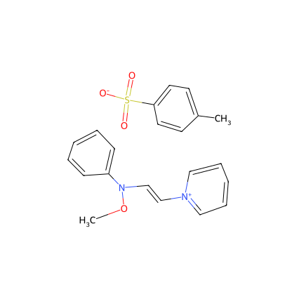 CON(C=C[n+]1ccccc1)c1ccccc1.Cc1ccc(S(=O)(=O)[O-])cc1